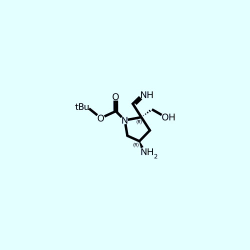 CC(C)(C)OC(=O)N1C[C@H](N)C[C@@]1(C=N)CO